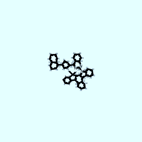 CC1(C)c2ccccc2-c2c1c1c(c3ccccc23)c2ccccc2n1-c1nc(-c2ccc(-c3cccc4ccccc34)cc2)c2ccccc2n1